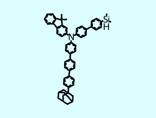 C[SiH](C)c1ccc(-c2ccc(N(c3ccc(-c4ccc(-c5ccc(C67CC8CC(CC(C8)C6)C7)cc5)cc4)cc3)c3ccc4c(c3)C(C)(C)c3ccccc3-4)cc2)cc1